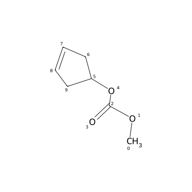 COC(=O)OC1CC=CC1